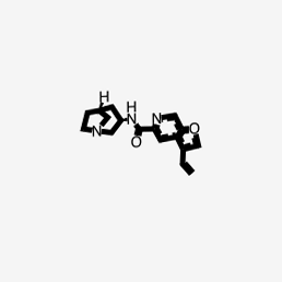 C=Cc1coc2cnc(C(=O)N[C@@H]3C[C@H]4CCN(C4)C3)cc12